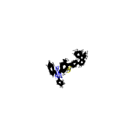 CC1C=C(c2nc(-c3ccccc3)nc(-c3ccccc3)n2)C=C2Sc3cc(-c4cccc5c4-c4ccccc4C5(C)C)ccc3C21